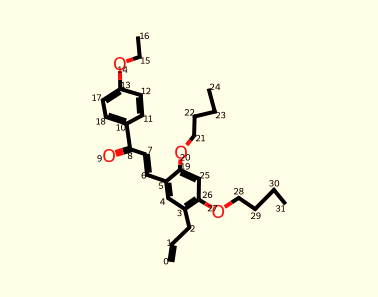 C=CCc1cc(C=CC(=O)c2ccc(OCC)cc2)c(OCCCC)cc1OCCCC